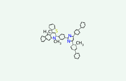 CC1C=C(c2ccccc2)C=CC1c1cc(-c2ccc(-c3ccccc3)cc2)nc(-c2ccc(C3C4=C(c5cc6ccccc6cc5N3C)C3(C)CC=CC=C3S4)cc2)n1